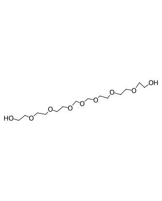 OCCOCCOCCOCOCOCCOCCOCCO